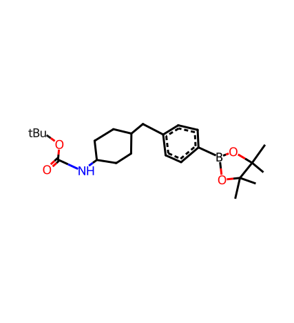 CC(C)(C)OC(=O)NC1CCC(Cc2ccc(B3OC(C)(C)C(C)(C)O3)cc2)CC1